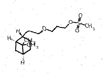 CC1(C)[C@H]2CC[C@@H](CCOCCCOS(C)(=O)=O)[C@@H]1C2